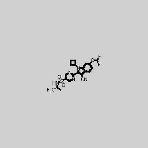 C[C@@H](NS(=O)(=O)c1cnc(-c2c(C#N)c3ccc(OC(F)F)cc3n2C2CCC2)nc1)C(F)(F)F